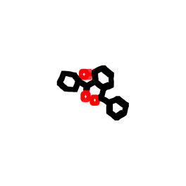 O=C(c1ccccc1)c1ccccc1C(=O)C1(O)CCCCC1